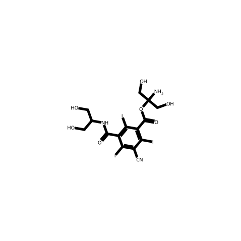 N#Cc1c(I)c(C(=O)NC(CO)CO)c(I)c(C(=O)OC(N)(CO)CO)c1I